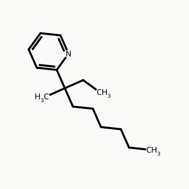 CCCCCCC(C)(CC)c1ccccn1